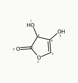 O=C1OC=C(O)C1O